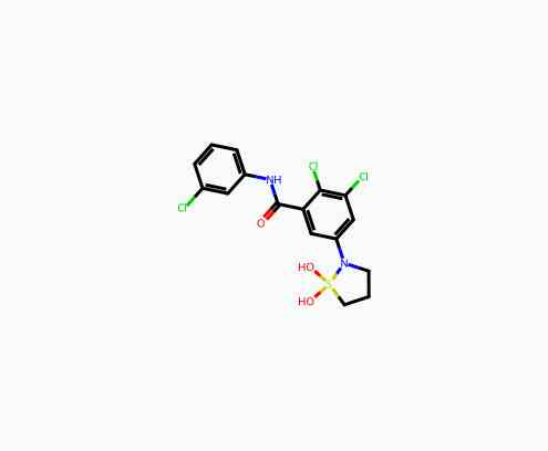 O=C(Nc1cccc(Cl)c1)c1cc(N2CCCS2(O)O)cc(Cl)c1Cl